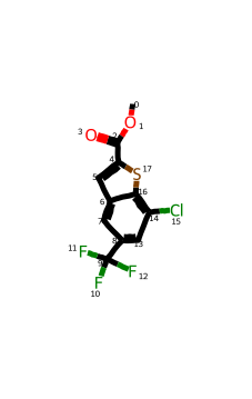 COC(=O)c1cc2cc(C(F)(F)F)cc(Cl)c2s1